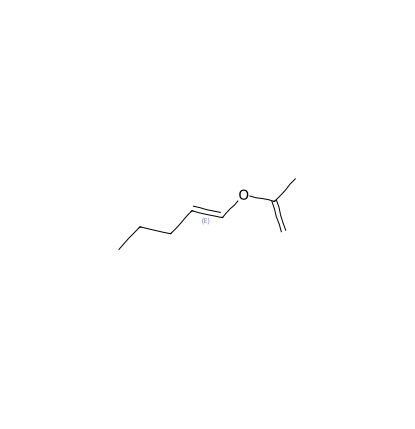 C=C(C)O/C=C/CCC